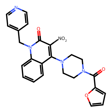 O=C(c1ccco1)N1CCN(c2c([N+](=O)[O-])c(=O)n(Cc3ccncc3)c3ccccc23)CC1